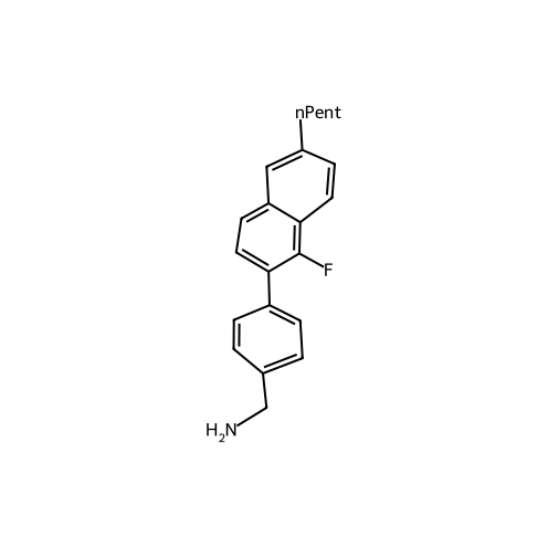 CCCCCc1ccc2c(F)c(-c3ccc(CN)cc3)ccc2c1